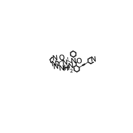 C[C@H](NC(=O)c1c(N)nn2cccnc12)c1nc2cccc(C#Cc3ccncc3)c2c(=O)n1-c1ccccc1